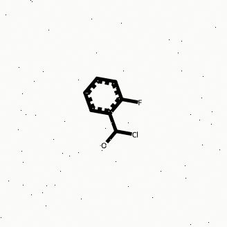 [O]C(Cl)c1ccccc1F